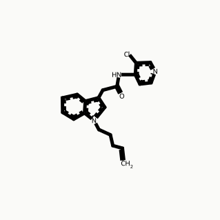 C=CCCCn1cc(CC(=O)Nc2ccncc2Cl)c2ccccc21